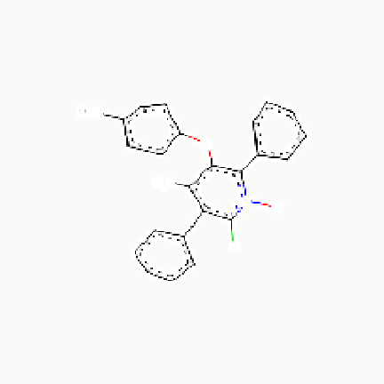 COc1ccc(Oc2c([N+](=O)[O-])c(-c3ccccc3)c(Cl)[n+]([O-])c2-c2ccccc2)cc1